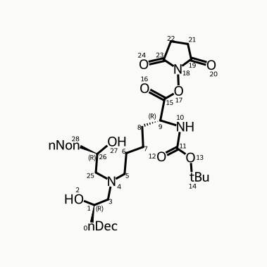 CCCCCCCCCC[C@@H](O)CN(CCCC[C@@H](NC(=O)OC(C)(C)C)C(=O)ON1C(=O)CCC1=O)C[C@H](O)CCCCCCCCC